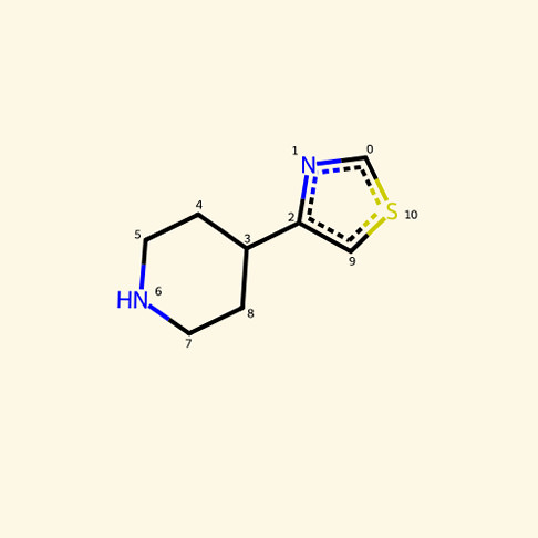 c1nc(C2CCNCC2)cs1